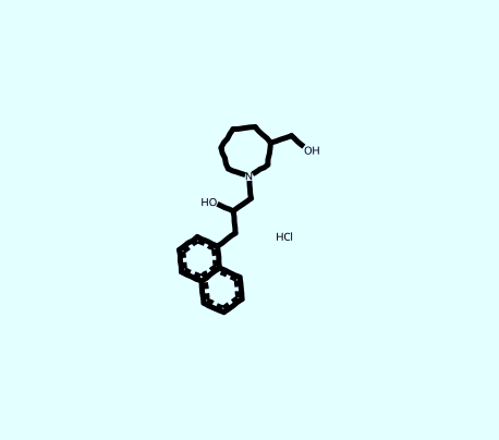 Cl.OCC1CCCCN(CC(O)Cc2cccc3ccccc23)C1